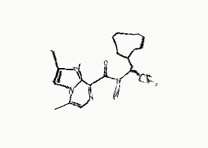 Cc1cn2c(C)cnc(C(=O)NC(C3CCCC3)C(F)(F)F)c2n1